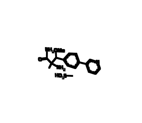 COC(c1ccc(-c2cccnc2)cc1)C(C)(N)C(N)=O.CS(=O)(=O)O